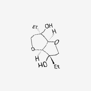 CC[C@@]1(O)CO[C@H]2[C@@H]1OC[C@@]2(O)CC